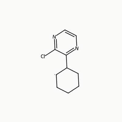 Clc1nccnc1C1[CH]CCCC1